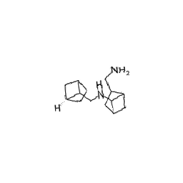 NCC1CC2CC1C2NCC1C2CC[C@H]1C2